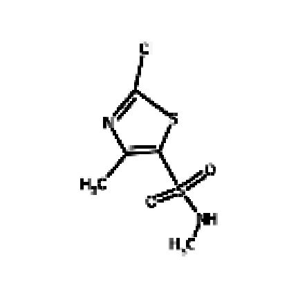 CNS(=O)(=O)c1sc(Cl)nc1C